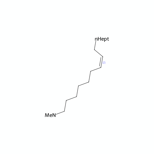 CCCCCCCC/C=C\CCCCCCNC